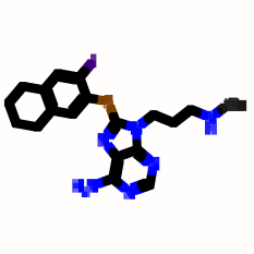 CC(C)(C)NCCCn1c(Sc2cc3c(cc2I)CCCC3)nc2c(N)ncnc21